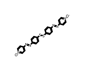 [O-][n+]1ccc(N=Nc2ccc(SSc3ccc(N=Nc4cc[n+]([O-])cc4)cc3)cc2)cc1